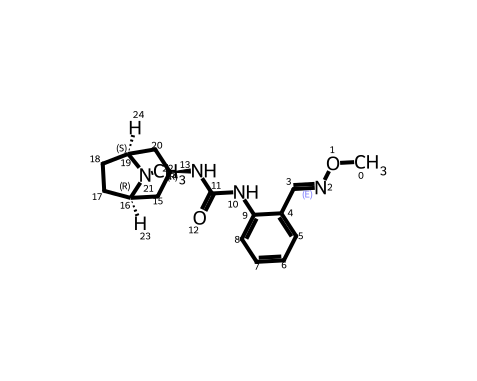 CO/N=C/c1ccccc1NC(=O)N[C@H]1C[C@H]2CC[C@@H](C1)N2C